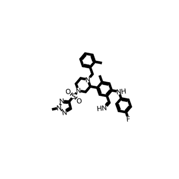 Cc1ccccc1CN1CCN(S(=O)(=O)c2cnn(C)n2)CC1c1cc(C=N)c(Nc2ccc(F)cc2)cc1C